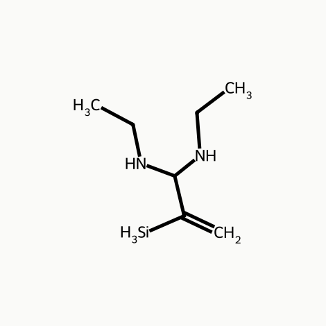 C=C([SiH3])C(NCC)NCC